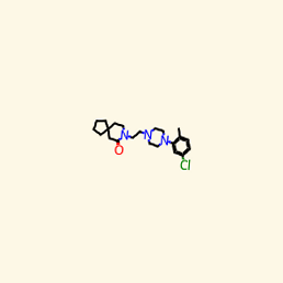 Cc1ccc(Cl)cc1N1CCN(CCN2CCC3(CCCC3)CC2=O)CC1